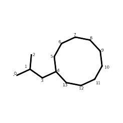 [CH2]C(C)CC1CCCCCCCCC1